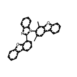 Cc1cc2c(oc3ccccc32)c(C)c1-n1c(-c2cccc3c2oc2ccccc23)nc2ccccc21